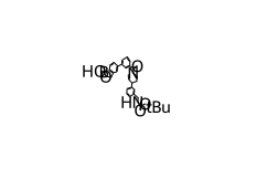 CC(C)(C)OC(=O)NCc1cccc(C2CCN(C(=O)c3cccc(-c4ccc5c(c4)COB5O)c3)CC2)c1